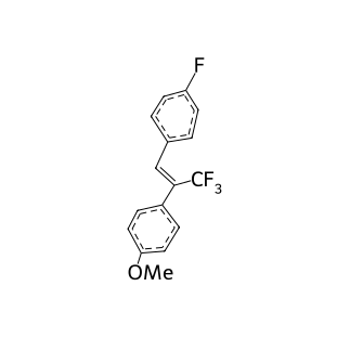 COc1ccc(C(=Cc2ccc(F)cc2)C(F)(F)F)cc1